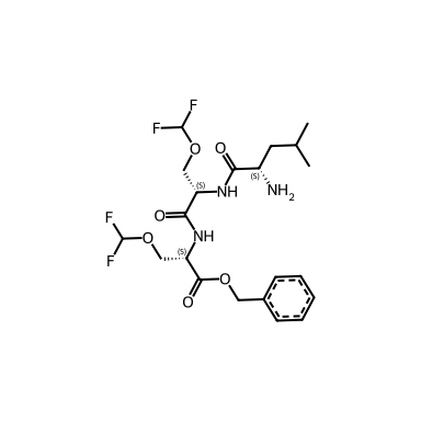 CC(C)C[C@H](N)C(=O)N[C@@H](COC(F)F)C(=O)N[C@@H](COC(F)F)C(=O)OCc1ccccc1